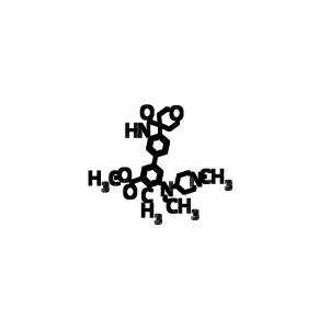 CCN(c1cc(-c2ccc3c(c2)NC(=O)C32CCOCC2)cc(C(=O)OC)c1C)C1CCN(C)CC1